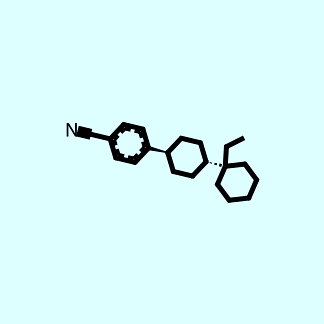 CCC1([C@H]2CC[C@H](c3ccc(C#N)cc3)CC2)CCCCC1